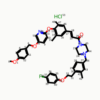 COc1ccc(COc2ccc(Oc3c(C)cc(C=CC(=O)N4CCN(Cc5ccc(CCOc6ccc(F)cc6)c(C)c5)CC4)cc3C)nc2)cc1.Cl